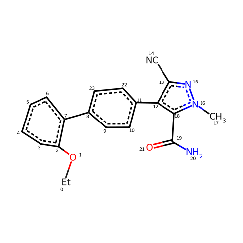 CCOc1ccccc1-c1ccc(-c2c(C#N)nn(C)c2C(N)=O)cc1